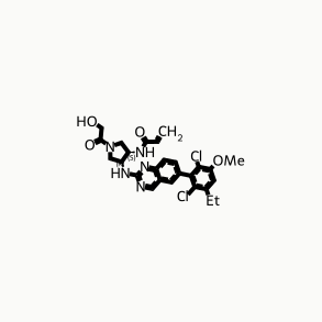 C=CC(=O)N[C@H]1CN(C(=O)CO)C[C@H]1Nc1ncc2cc(-c3c(Cl)c(CC)cc(OC)c3Cl)ccc2n1